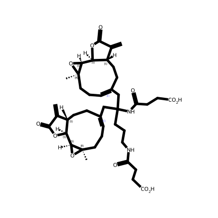 C=C1C(=O)O[C@H]2[C@H]1CC/C(CC(CCCNC(=O)CCC(=O)O)(C/C1=C/CC[C@@]3(C)O[C@H]3[C@H]3OC(=O)C(=C)[C@@H]3CC1)NC(=O)CCC(=O)O)=C\CC[C@@]1(C)O[C@@H]21